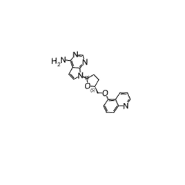 Nc1ncnc2c1ccn2[C@H]1CC[C@@H](COc2cccc3ncccc23)O1